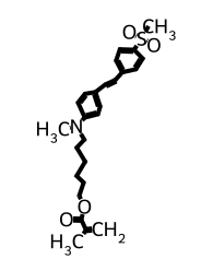 C=C(C)C(=O)OCCCCCCN(C)c1ccc(C=Cc2ccc(S(C)(=O)=O)cc2)cc1